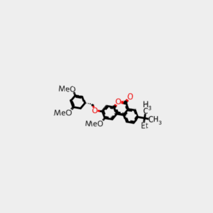 CCC(C)(C)c1ccc2c(c1)c(=O)oc1cc(OC[C@H]3C=C(OC)C=C(OC)C3)c(OC)cc12